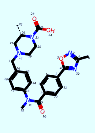 Cc1noc(-c2ccc(C(=O)N(C)c3ccc(CN4CCN(C(=O)O)[C@@H](C)C4)cc3)cc2)n1